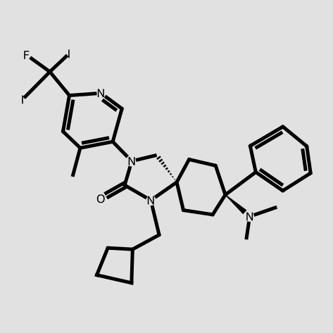 Cc1cc(C(F)(I)I)ncc1N1C[C@]2(CC[C@](c3ccccc3)(N(C)C)CC2)N(CC2CCC2)C1=O